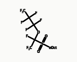 CCCCCCCCS(=O)(=O)C(F)(OC(F)(F)C(F)(F)C(F)(F)F)C(F)(F)F